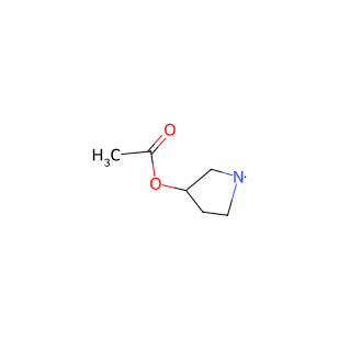 CC(=O)OC1CC[N]C1